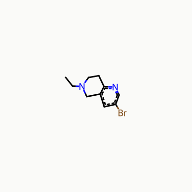 CCN1CCc2ncc(Br)cc2C1